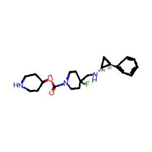 O=C(OC1CCNCC1)N1CCC(F)(CN[C@@H]2C[C@H]2c2ccccc2)CC1